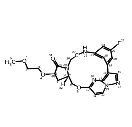 COCCO[C@@H]1C[C@H]2COc3ccn4ncc(c4n3)-c3cc(F)cc(c3)NCCN2C1=O